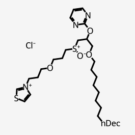 CCCCCCCCCCCCCCCCCCOCC(C[S+]([O-])CCCOCCC[n+]1ccsc1)Oc1ncccn1.[Cl-]